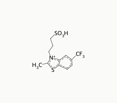 Cc1sc2ccc(C(F)(F)F)cc2[n+]1CCCS(=O)(=O)O